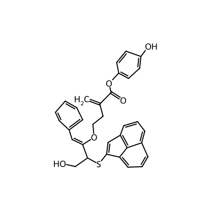 C=C(CCOC(=Cc1ccccc1)C(CO)SC1=Cc2cccc3cccc1c23)C(=O)Oc1ccc(O)cc1